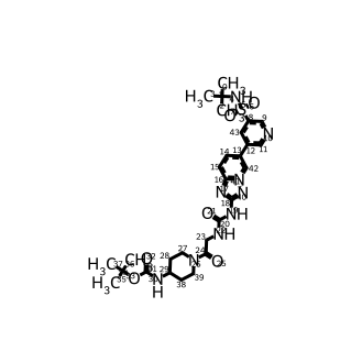 CC(C)(C)NS(=O)(=O)c1cncc(-c2ccc3nc(NC(=O)NCC(=O)N4CCC(NC(=O)OC(C)(C)C)CC4)nn3c2)c1